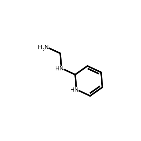 NCNC1C=CC=CN1